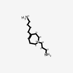 NCCCCC1=CCCN(CCCN)CC1